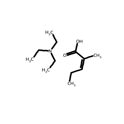 CCC=C(C)C(=O)O.CCN(CC)CC